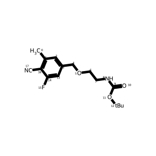 Cc1cc(COCCNC(=O)OC(C)(C)C)cc(F)c1C#N